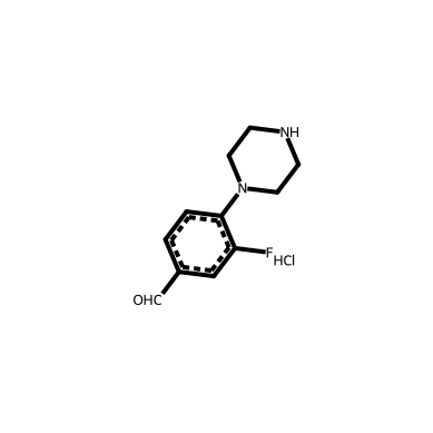 Cl.O=Cc1ccc(N2CCNCC2)c(F)c1